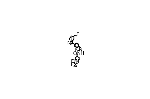 O=C(Nc1ncc2ccc(-c3cnn4c3CN(CCF)CC4)cc2n1)C1CCN(CC2(C(F)(F)F)CC2)CC1